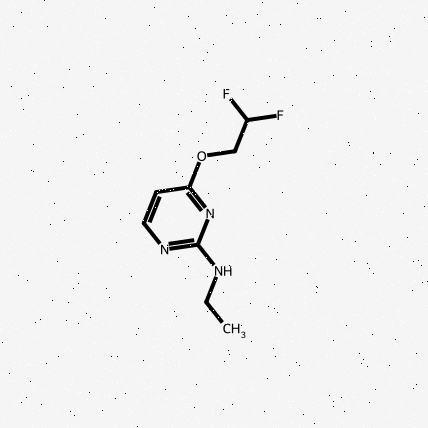 CCNc1nccc(OCC(F)F)n1